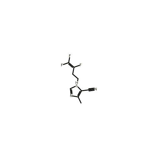 CC1=C(C#N)[SH](CCC(F)=C(F)F)C=N1